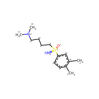 Cc1ccc(S(=N)(=O)CCCCN(C)C)cc1C